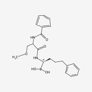 COCC(NC(=O)c1ccccc1)C(=O)N[C@@H](CCCc1ccccc1)B(O)O